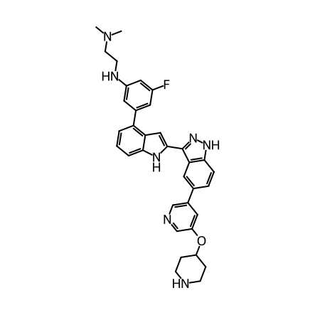 CN(C)CCNc1cc(F)cc(-c2cccc3[nH]c(-c4n[nH]c5ccc(-c6cncc(OC7CCNCC7)c6)cc45)cc23)c1